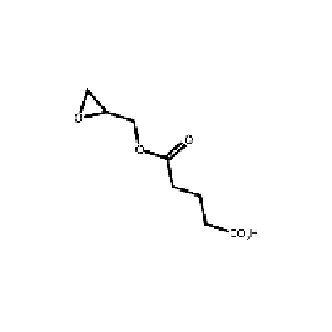 O=C(O)CCCC(=O)OCC1CO1